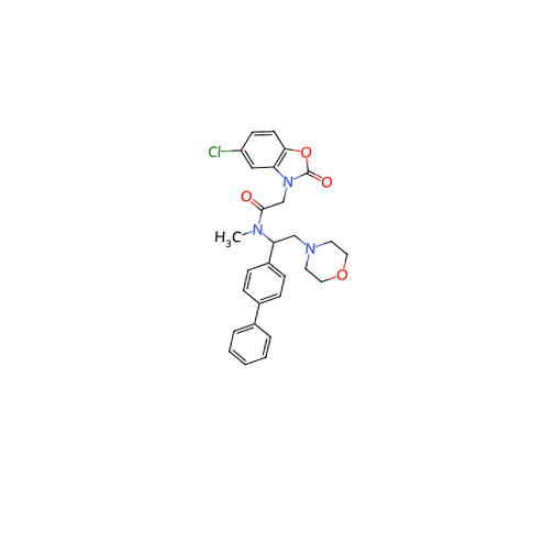 CN(C(=O)Cn1c(=O)oc2ccc(Cl)cc21)C(CN1CCOCC1)c1ccc(-c2ccccc2)cc1